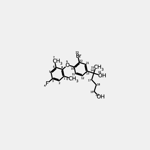 Cc1cc(F)cc(C)c1Oc1ccc(C(C)(O)CCCO)cc1Br